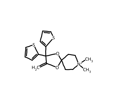 C=C1OC2(CC[N+](C)(C)CC2)OC1(c1cccs1)c1cccs1